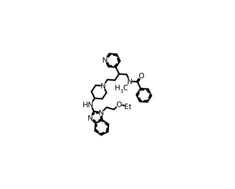 CCOCCn1c(NC2CCN(CCC(CN(C)C(=O)c3ccccc3)c3cccnc3)CC2)nc2ccccc21